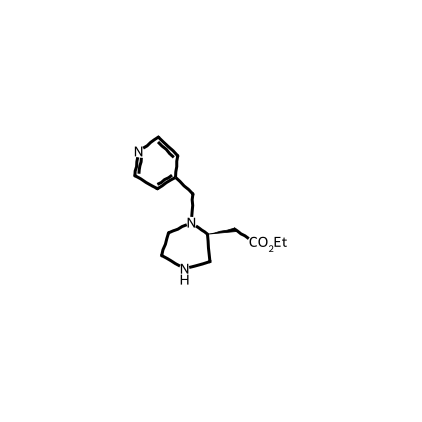 CCOC(=O)C[C@H]1CNCCN1Cc1ccncc1